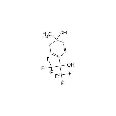 CC1(O)C=CC(C(O)(C(F)(F)F)C(F)(F)F)=CC1